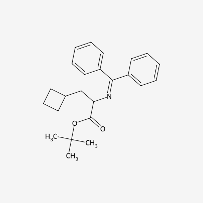 CC(C)(C)OC(=O)C(CC1CCC1)N=C(c1ccccc1)c1ccccc1